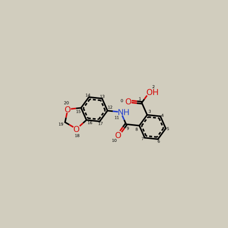 O=C(O)c1ccccc1C(=O)Nc1ccc2c(c1)OCO2